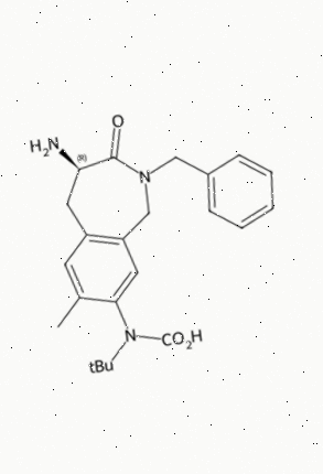 Cc1cc2c(cc1N(C(=O)O)C(C)(C)C)CN(Cc1ccccc1)C(=O)[C@H](N)C2